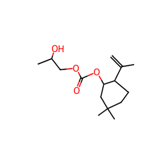 C=C(C)C1CCC(C)(C)CC1OC(=O)OCC(C)O